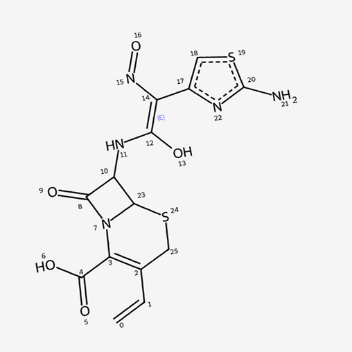 C=CC1=C(C(=O)O)N2C(=O)C(N/C(O)=C(\N=O)c3csc(N)n3)C2SC1